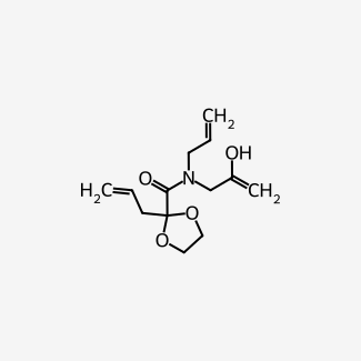 C=CCN(CC(=C)O)C(=O)C1(CC=C)OCCO1